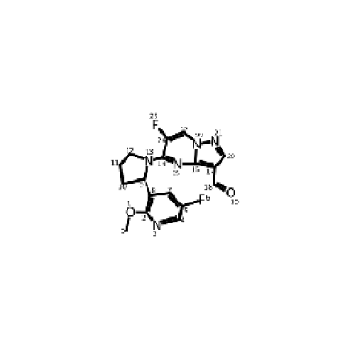 COc1ncc(F)cc1[C@H]1CCCN1c1nc2c(C=O)cnn2cc1F